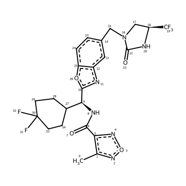 Cc1nonc1C(=O)N[C@H](c1nc2cc(CN3C[C@@H](C(F)(F)F)NC3=O)ccc2o1)C1CCC(F)(F)CC1